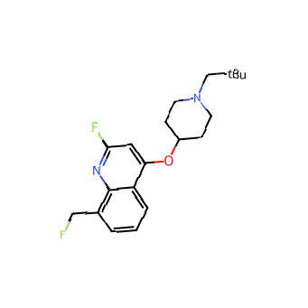 CC(C)(C)CN1CCC(Oc2cc(F)nc3c(CF)cccc23)CC1